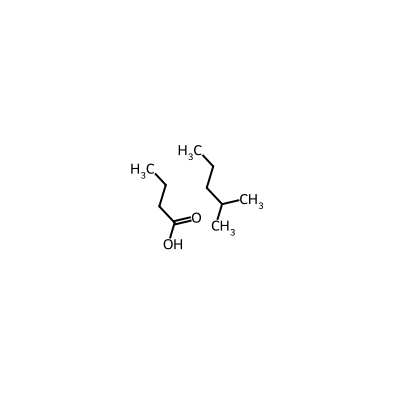 CCCC(=O)O.CCCC(C)C